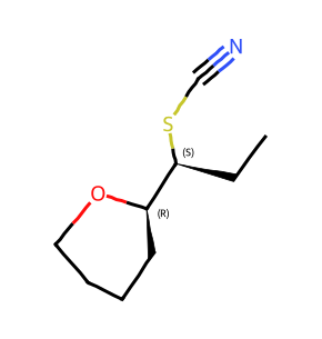 CC[C@H](SC#N)[C@H]1CCCCO1